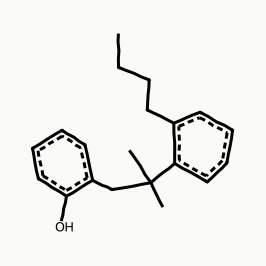 CCCCc1ccccc1C(C)(C)Cc1ccccc1O